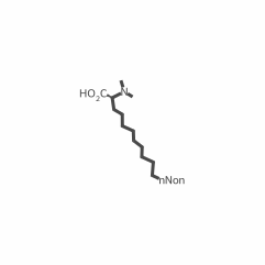 CCCCCCCCCCCCCCCCCC[C@@H](C(=O)O)N(C)C